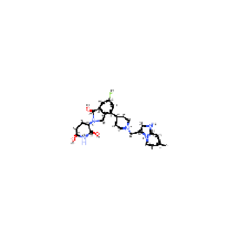 Cc1ccn2c(CN3CCC(c4cc(F)cc5c4CN(C4CCC(=O)NC4=O)C5=O)CC3)cnc2c1